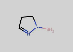 BN1CCC=N1